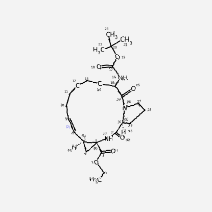 CCOC(=O)[C@@]12C[C@H]1/C=C\CCCCCC(NC(=O)OC(C)(C)C)C(=O)N1CCC[C@H]1C(=O)N2